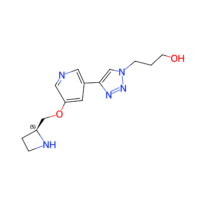 OCCCn1cc(-c2cncc(OC[C@@H]3CCN3)c2)nn1